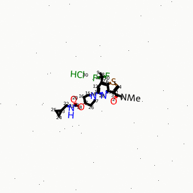 CNC(=O)c1csc2c(C(C)(F)F)cc(N3CCC(OC(=O)NCC4CC4)CC3)nc12.Cl